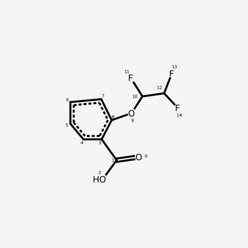 O=C(O)c1ccccc1OC(F)C(F)F